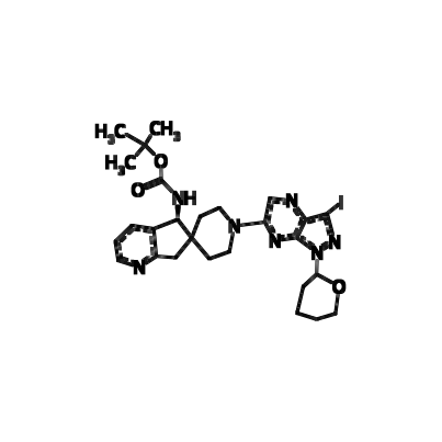 CC(C)(C)OC(=O)N[C@@H]1c2cccnc2CC12CCN(c1cnc3c(I)nn(C4CCCCO4)c3n1)CC2